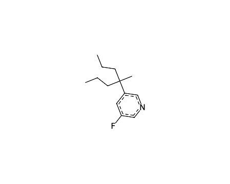 CCCC(C)(CCC)c1cncc(F)c1